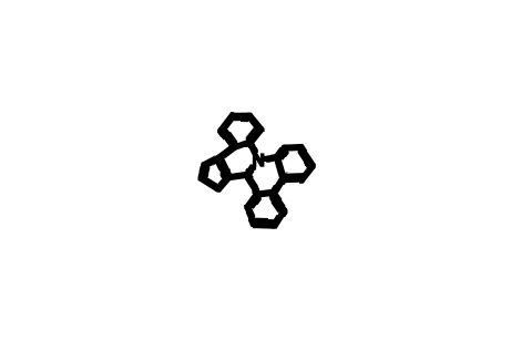 C1=CC2=C(C1)C1c3ccccc3-c3ccccc3N1c1ccccc12